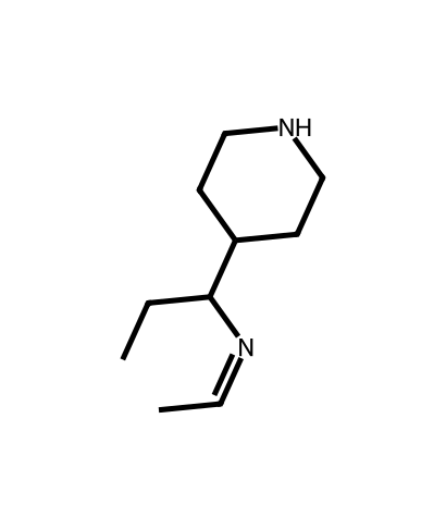 C/C=N\C(CC)C1CCNCC1